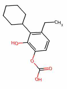 CCc1ccc(OC(=O)O)c(O)c1C1CCCCC1